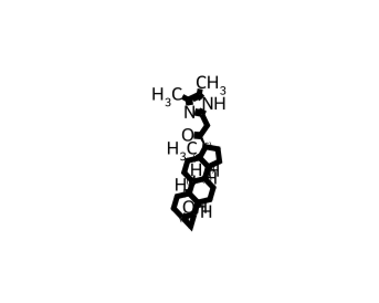 Cc1nc(CC(=O)[C@H]2CC[C@H]3[C@@H]4CC[C@@H]5C6C[C@@]6(O)CC[C@@H]5[C@H]4CC[C@]23C)[nH]c1C